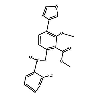 COC(=O)c1c(C[S+]([O-])c2ccccc2Cl)ccc(-c2ccoc2)c1OC